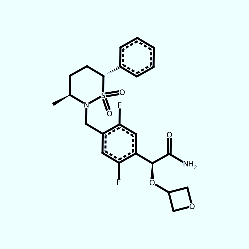 C[C@H]1CC[C@H](c2ccccc2)S(=O)(=O)N1Cc1cc(F)c([C@H](OC2COC2)C(N)=O)cc1F